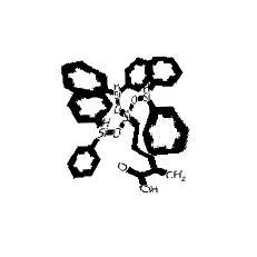 C=C(CCC[Si](O[SiH](c1ccccc1)c1ccccc1)(O[SiH](c1ccccc1)c1ccccc1)O[SiH](c1ccccc1)c1ccccc1)C(=O)O